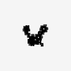 Nc1ncnn2c(CCCn3ccnc3)cc(-c3cccc(OCc4ccccc4)c3)c12